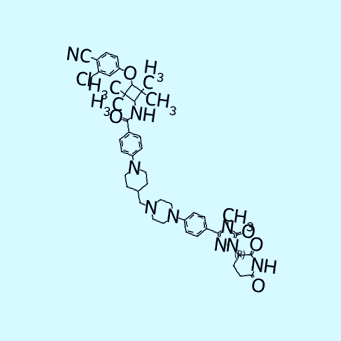 Cn1c(-c2ccc(N3CCN(CC4CCN(c5ccc(C(=O)NC6C(C)(C)C(Oc7ccc(C#N)c(Cl)c7)C6(C)C)cc5)CC4)CC3)cc2)nn([C@@H]2CCC(=O)NC2=O)c1=O